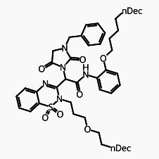 CCCCCCCCCCCCCCOc1ccccc1NC(=O)C(C1=Nc2ccccc2S(=O)(=O)N1CCCOCCCCCCCCCCCC)N1C(=O)CN(Cc2ccccc2)C1=O